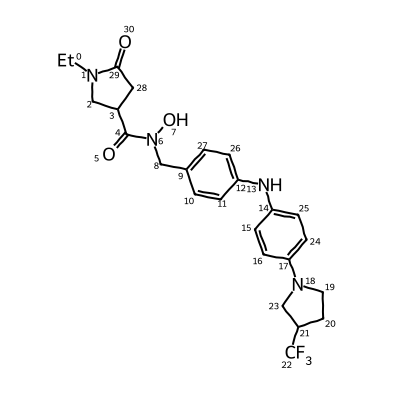 CCN1CC(C(=O)N(O)Cc2ccc(Nc3ccc(N4CCC(C(F)(F)F)C4)cc3)cc2)CC1=O